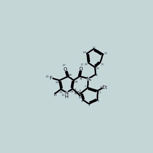 CCc1cccc(CC)c1N(Cc1ccccc1)C(=O)c1c(C)[nH]c(C)c(F)c1=O